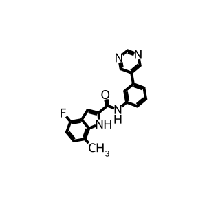 Cc1ccc(F)c2cc(C(=O)Nc3cccc(-c4cncnc4)c3)[nH]c12